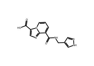 O=C(NCc1cn[nH]c1)c1cccn2c(C(=O)O)cnc12